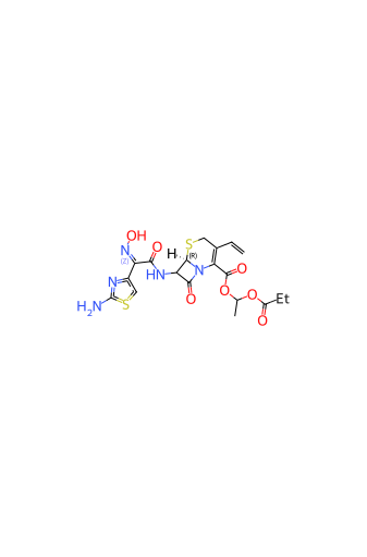 C=CC1=C(C(=O)OC(C)OC(=O)CC)N2C(=O)C(NC(=O)/C(=N\O)c3csc(N)n3)[C@H]2SC1